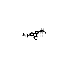 CCc1ncc(-c2ccc3c4ccc(-c5cnc(C(C)C)[nH]5)cc4c4nccnc4c3c2)[nH]1